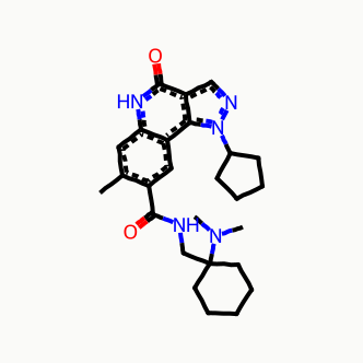 Cc1cc2[nH]c(=O)c3cnn(C4CCCC4)c3c2cc1C(=O)NCC1(N(C)C)CCCCC1